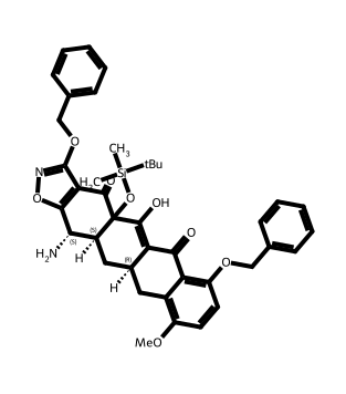 COc1ccc(OCc2ccccc2)c2c1C[C@H]1C[C@H]3[C@H](N)c4onc(OCc5ccccc5)c4C(=O)C3(O[Si](C)(C)C(C)(C)C)C(O)=C1C2=O